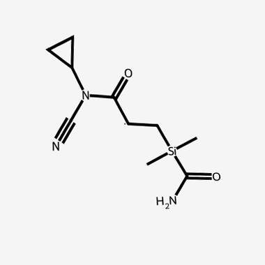 C[Si](C)(C[CH]C(=O)N(C#N)C1CC1)C(N)=O